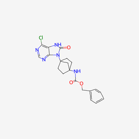 O=C(NC12CCC(n3c(=O)[nH]c4c(Cl)ncnc43)(CC1)C2)OCc1ccccc1